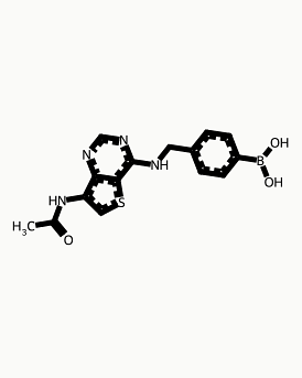 CC(=O)Nc1csc2c(NCc3ccc(B(O)O)cc3)ncnc12